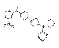 CN(c1ccc(-c2ccc(N(c3ccccc3)c3ccccc3)cc2)cc1)c1cccc([N+](=O)[O-])c1